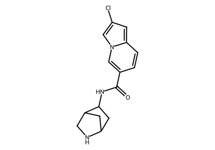 O=C(NC1CC2CC1CN2)c1ccc2cc(Cl)cn2c1